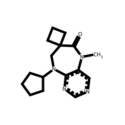 CN1C(=O)C2(CCC2)CN(C2CCCC2)c2ncncc21